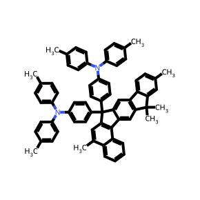 Cc1ccc(N(c2ccc(C)cc2)c2ccc(C3(c4ccc(N(c5ccc(C)cc5)c5ccc(C)cc5)cc4)c4cc5c(cc4-c4c3cc(C)c3ccccc43)C(C)(C)c3cc(C)ccc3-5)cc2)cc1